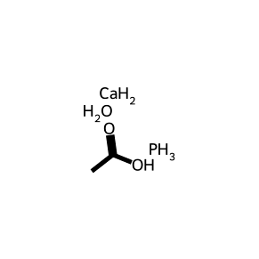 CC(=O)O.O.P.[CaH2]